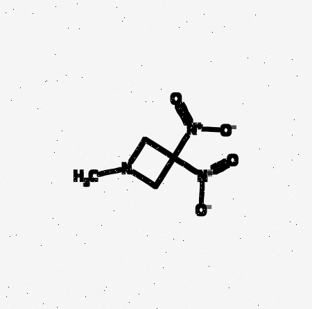 CN1CC([N+](=O)[O-])([N+](=O)[O-])C1